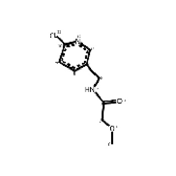 COCC(=O)NCc1ccc(Cl)nc1